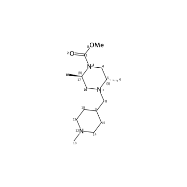 COC(=O)N1C[C@H](C)N(CC2CCN(C)CC2)C[C@H]1C